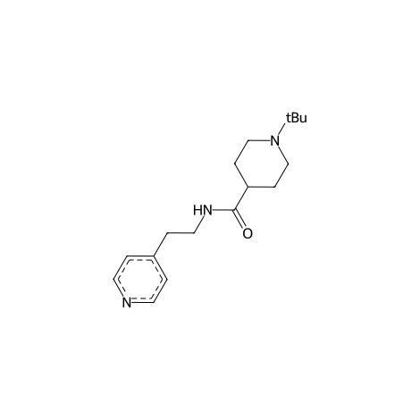 CC(C)(C)N1CCC(C(=O)NCCc2ccncc2)CC1